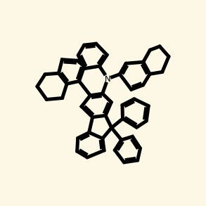 c1ccc(N(c2ccc3c(c2)CCCC3)c2cc3c(cc2-c2cccc4c2CCCC4)-c2ccccc2C3(c2ccccc2)c2ccccc2)cc1